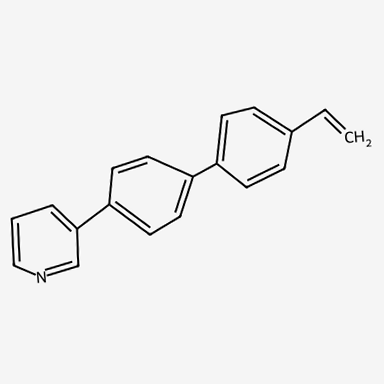 C=Cc1ccc(-c2ccc(-c3cccnc3)cc2)cc1